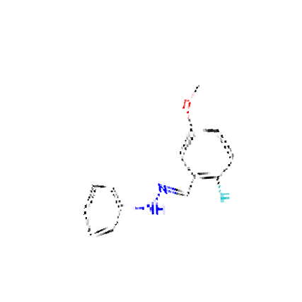 COc1ccc(F)c(C=NNc2ccccc2)c1